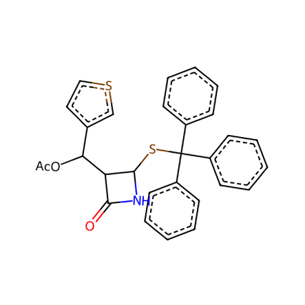 CC(=O)OC(c1ccsc1)C1C(=O)NC1SC(c1ccccc1)(c1ccccc1)c1ccccc1